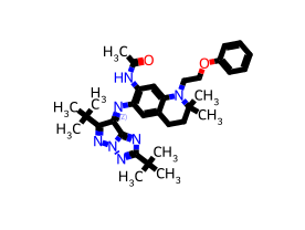 CC(=O)Nc1cc2c(cc1/N=C1/C(C(C)(C)C)=Nn3nc(C(C)(C)C)nc31)CCC(C)(C)N2CCOc1ccccc1